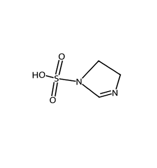 O=S(=O)(O)N1C=NCC1